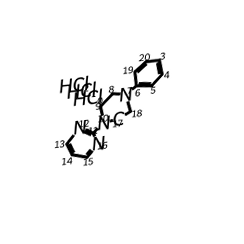 Cl.Cl.Cl.c1ccc(N2CCN(c3ncccn3)CC2)cc1